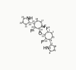 Fc1ccc(-c2ccc[nH]2)c(F)c1Oc1c(F)ccc(-c2ccc[nH]2)c1F